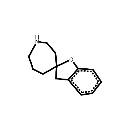 c1ccc2c(c1)CC1(CCCNCC1)O2